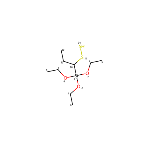 CCO[Si](OCC)(OCC)C(CC)SS